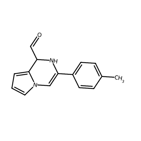 Cc1ccc(C2=Cn3cccc3C(C=O)N2)cc1